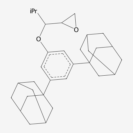 CC(C)C(Oc1cc(C23CC4CC(CC(C4)C2)C3)cc(C23CC4CC(CC(C4)C2)C3)c1)C1CO1